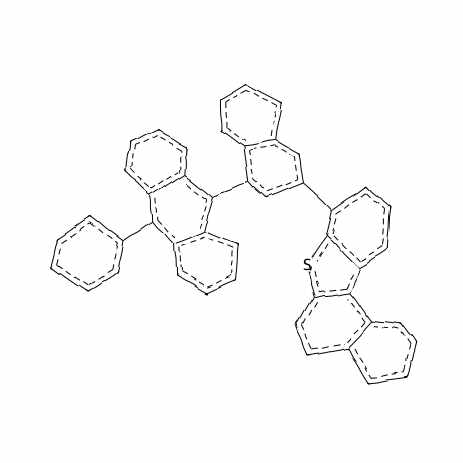 c1ccc(-c2c3ccccc3c(-c3cc(-c4cccc5c4sc4ccc6ccccc6c45)cc4ccccc34)c3ccccc23)cc1